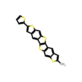 Cc1cc2cc3c(cc2s1)sc1c2cc4cc(-c5cccs5)sc4cc2sc31